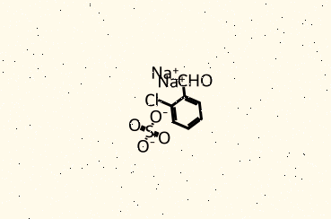 O=Cc1ccccc1Cl.O=S(=O)([O-])[O-].[Na+].[Na+]